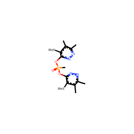 CSc1c(OP(C)(=O)Oc2nnc(C)c(C)c2SC)nnc(C)c1C